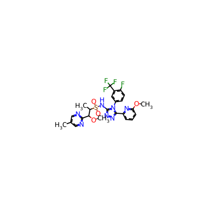 COc1cccc(-c2nnc(NS(=O)(=O)C(C)C(OC)c3ncc(C)cn3)n2-c2ccc(F)c(C(F)(F)F)c2)n1